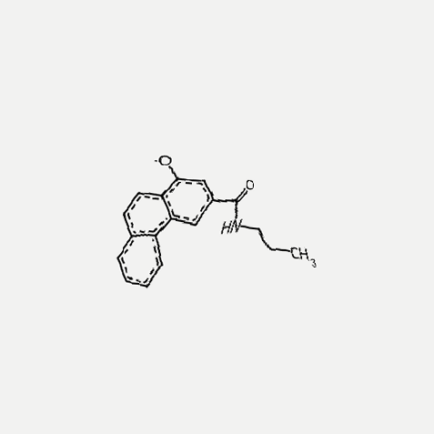 CCCNC(=O)c1cc([O])c2ccc3ccccc3c2c1